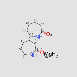 O=C1CCCCCN1.O=C1CCCCCN1.[MgH2]